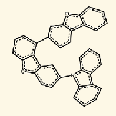 c1ccc2c(c1)oc1cc(-c3cccc4oc5ccc(-n6c7ccccc7c7ccccc76)cc5c34)ccc12